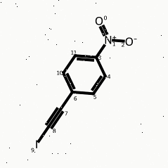 O=[N+]([O-])c1ccc(C#CI)cc1